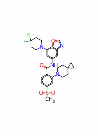 CS(=O)(=O)c1ccc(C(=O)Nc2cc(N3CCC(F)(F)CC3)c3ocnc3c2)c(N2CCC3(CC2)CC3)c1